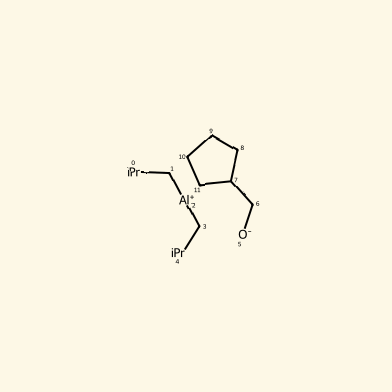 CC(C)[CH2][Al+][CH2]C(C)C.[O-]CC1CCCC1